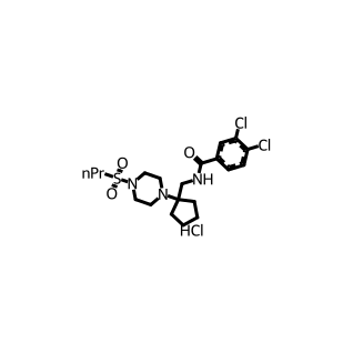 CCCS(=O)(=O)N1CCN(C2(CNC(=O)c3ccc(Cl)c(Cl)c3)CCCC2)CC1.Cl